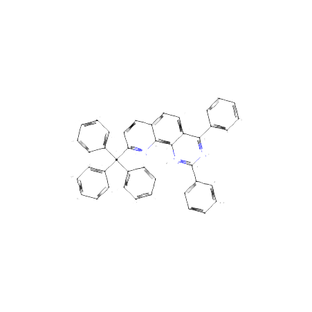 c1ccc(-c2nc(-c3ccccc3)c3ccc4ccc(C(c5ccccc5)(c5ccccc5)c5ccccc5)nc4c3n2)cc1